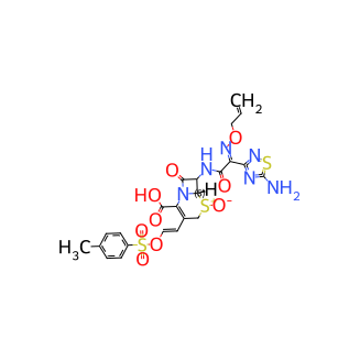 C=CCON=C(C(=O)NC1C(=O)N2C(C(=O)O)=C(C=COS(=O)(=O)c3ccc(C)cc3)C[S+]([O-])[C@@H]12)c1nsc(N)n1